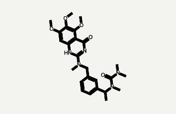 COc1cc2[nH]c(N(C)Cc3cccc(C(C)N(C)C(=O)N(C)C)c3)nc(=O)c2c(OC)c1OC